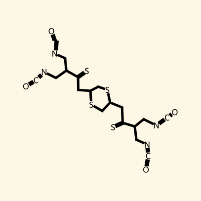 O=C=NCC(CN=C=O)C(=S)CC1CSC(CC(=S)C(CN=C=O)CN=C=O)CS1